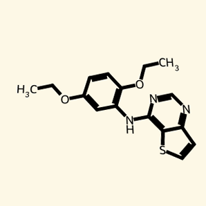 CCOc1ccc(OCC)c(Nc2ncnc3ccsc23)c1